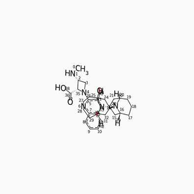 CN[C@@H]1CN(c2nc3ccccc3n([C@H]3C[C@H]4CCC[C@@H](C3)N4[C@@H]3C[C@@H]4CCCC[C@@H](C4)C3)c2=O)[C@@H]1C(=O)O